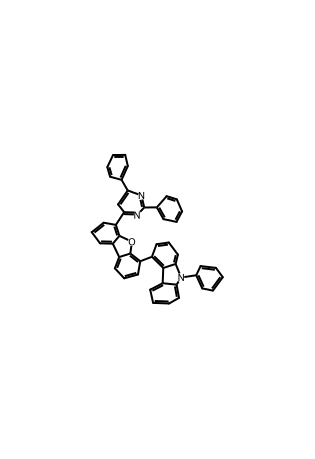 c1ccc(-c2cc(-c3cccc4c3oc3c(-c5cccc6c5c5ccccc5n6-c5ccccc5)cccc34)nc(-c3ccccc3)n2)cc1